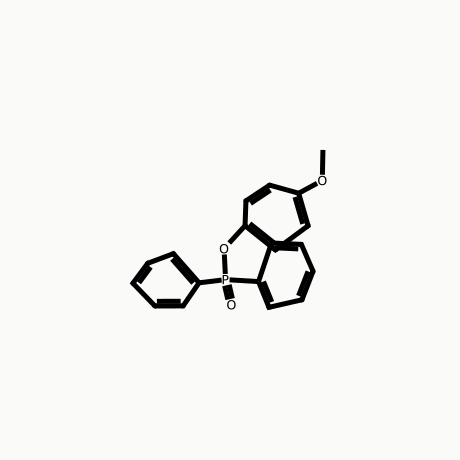 COc1ccc(OP(=O)(c2ccccc2)c2ccccc2)cc1